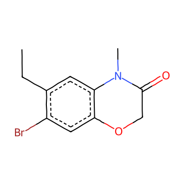 CCc1cc2c(cc1Br)OCC(=O)N2C